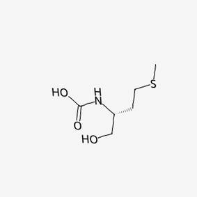 CSCC[C@H](CO)NC(=O)O